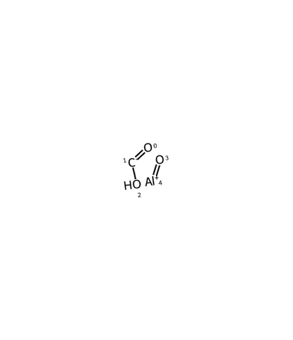 O=[C-]O.[O]=[Al+]